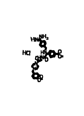 COC(=O)c1ccc(C(NCc2ccc(C(=N)N)cc2)C(=O)NCC(=O)N2CCN(Cc3ccc4c(c3)OCO4)CC2)cc1.Cl